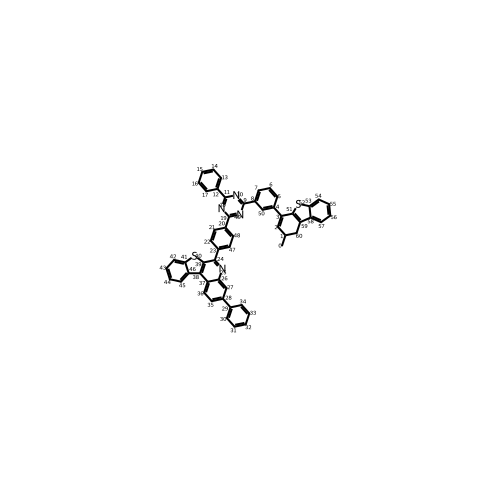 CC1C=C(c2cccc(-c3nc(-c4ccccc4)nc(-c4ccc(-c5nc6cc(-c7ccccc7)ccc6c6c5sc5ccccc56)cc4)n3)c2)c2sc3ccccc3c2C1